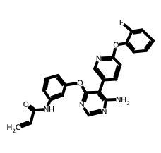 C=CC(=O)Nc1cccc(Oc2ncnc(N)c2-c2ccc(Oc3ccccc3F)nc2)c1